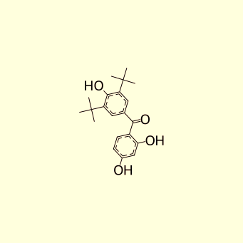 CC(C)(C)c1cc(C(=O)c2ccc(O)cc2O)cc(C(C)(C)C)c1O